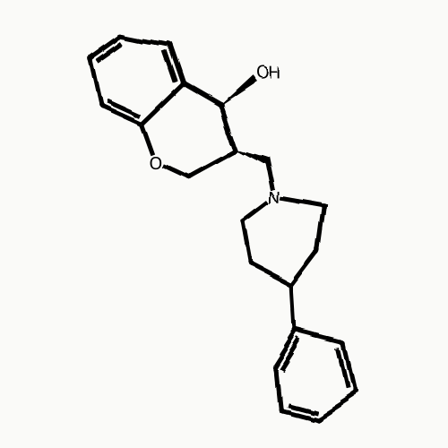 O[C@@H]1c2ccccc2OC[C@@H]1CN1CCC(c2ccccc2)CC1